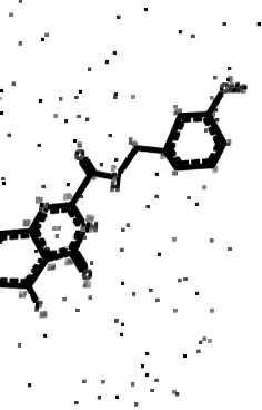 COc1cccc(CNC(=O)c2nc3ccc(Cl)c(F)c3c(=O)[nH]2)c1